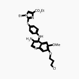 CCOC(=O)c1cn(CC)c(Sc2ccc(Nc3c(N)cnc4cc(OCCCCl)c(OC)cc34)cc2)n1